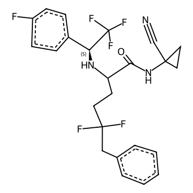 N#CC1(NC(=O)C(CCC(F)(F)Cc2ccccc2)N[C@@H](c2ccc(F)cc2)C(F)(F)F)CC1